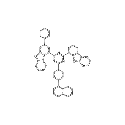 c1ccc(-c2cc(-c3nc(-c4ccc(-c5cccc6ccccc56)cc4)nc(-c4cccc5c4oc4ccccc45)n3)c3c(c2)oc2ccccc23)cc1